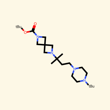 CC(C)(C)OC(=O)N1CC2(C1)CN(C(C)(C)CCN1CCN(C(C)(C)C)CC1)C2